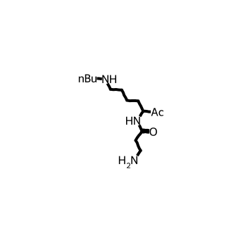 CCCCNCCCCC(NC(=O)CCN)C(C)=O